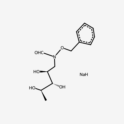 C[C@@H](O)[C@@H](O)[C@@H](O)CN(C=O)OCc1ccccc1.[NaH]